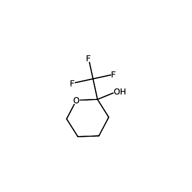 OC1(C(F)(F)F)CCCCO1